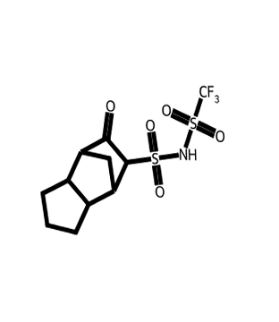 O=C1C2CC(C3CCCC23)C1S(=O)(=O)NS(=O)(=O)C(F)(F)F